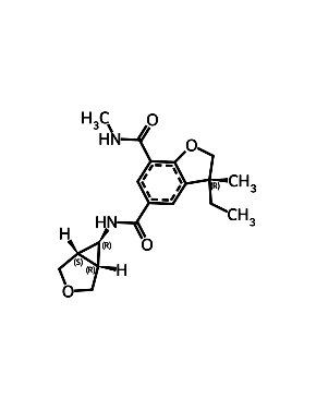 CC[C@@]1(C)COc2c(C(=O)NC)cc(C(=O)N[C@H]3[C@@H]4COC[C@@H]43)cc21